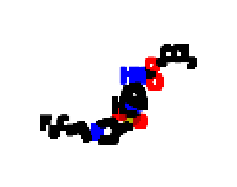 O=C(N[C@@H]1C[C@@H]2CC1CN2S(=O)(=O)CC1CCN(CCCC(F)(F)F)CC1)OCC(Cl)(Cl)Cl